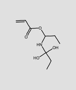 C=CC(=O)OC(CC)NC(O)(O)CC